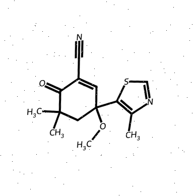 COC1(c2scnc2C)C=C(C#N)C(=O)C(C)(C)C1